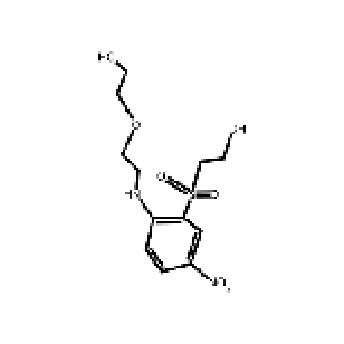 O=[N+]([O-])c1ccc(NCCOCCO)c(S(=O)(=O)CCO)c1